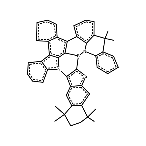 CC1(C)CCC(C)(C)c2cc3c4c(sc3cc21)B1c2c(c3ccccc3c3c5ccccc5n-4c23)-c2cccc3c2N1c1ccccc1C3(C)C